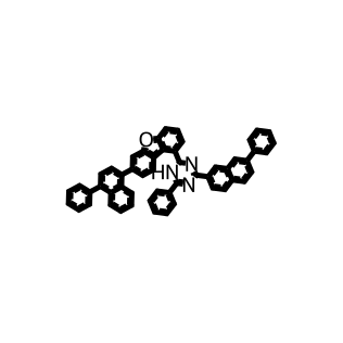 c1ccc(C2=NC(c3ccc4ccc(-c5ccccc5)cc4c3)=NC(c3cccc4oc5cc(-c6ccc(-c7ccccc7)c7ccccc67)ccc5c34)N2)cc1